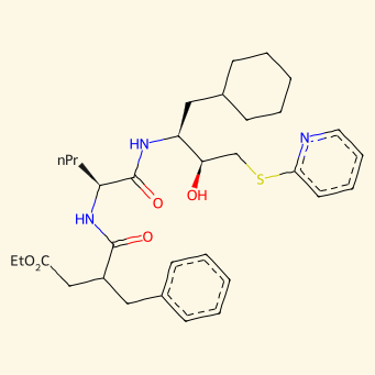 CCC[C@H](NC(=O)C(CC(=O)OCC)Cc1ccccc1)C(=O)N[C@@H](CC1CCCCC1)[C@H](O)CSc1ccccn1